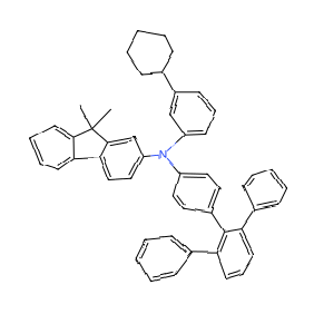 CC1(C)c2ccccc2-c2ccc(N(c3ccc(-c4c(-c5ccccc5)cccc4-c4ccccc4)cc3)c3cccc(C4CCCCC4)c3)cc21